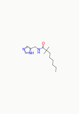 CCCCCCC(C)(C)C(=O)NCc1cnc[nH]1